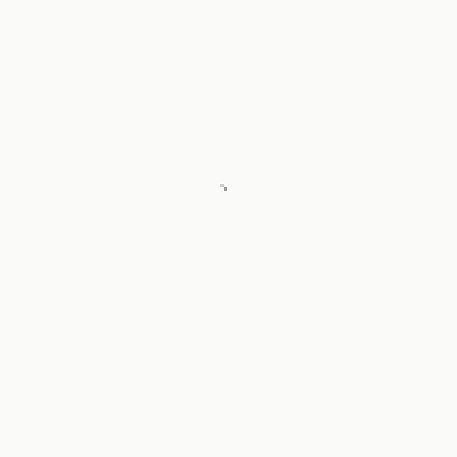 c1ccc2c(-c3ccc(N(c4ccc5oc6ccccc6c5c4)c4cccc5c4sc4ccc6oc7c8ccccc8ccc7c6c45)cc3)cccc2c1